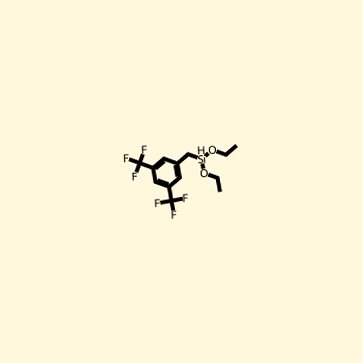 CCO[SiH](Cc1cc(C(F)(F)F)cc(C(F)(F)F)c1)OCC